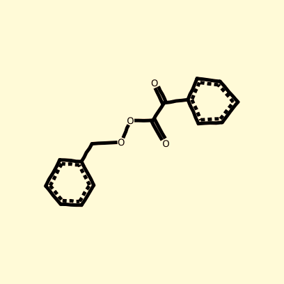 O=C(OOCc1ccccc1)C(=O)c1ccccc1